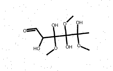 COC(C)(O)C(O)(OC)C(O)(OC)C(O)C=O